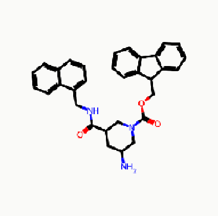 NC1CC(C(=O)NCc2cccc3ccccc23)CN(C(=O)OCC2c3ccccc3-c3ccccc32)C1